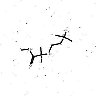 CNC(=O)C(C)(C)[SiH2]CCC(F)(F)F